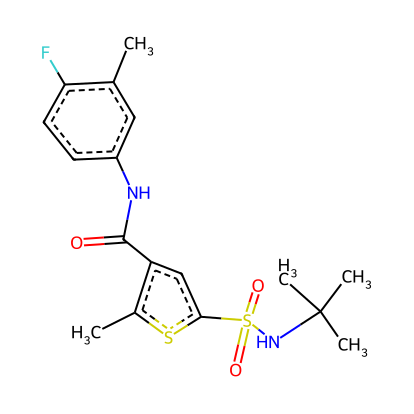 Cc1cc(NC(=O)c2cc(S(=O)(=O)NC(C)(C)C)sc2C)ccc1F